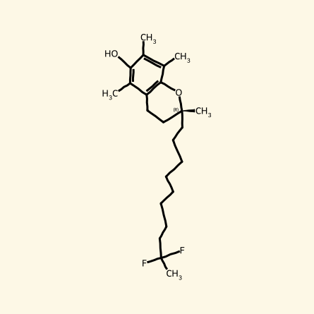 Cc1c(C)c2c(c(C)c1O)CC[C@@](C)(CCCCCCCCC(C)(F)F)O2